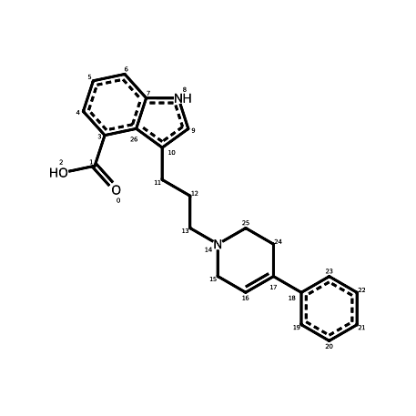 O=C(O)c1cccc2[nH]cc(CCCN3CC=C(c4ccccc4)CC3)c12